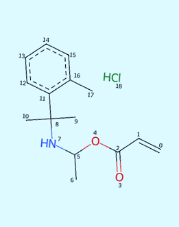 C=CC(=O)OC(C)NC(C)(C)c1ccccc1C.Cl